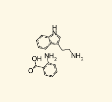 NCCc1c[nH]c2ccccc12.Nc1ccccc1C(=O)O